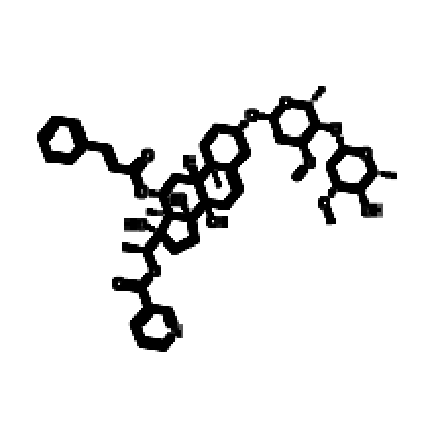 CO[C@H]1C[C@H](O[C@H]2CC[C@@]3(C)C(=CC[C@]4(O)[C@@H]3C[C@@H](OC(=O)/C=C/c3ccccc3)[C@@]3(C)[C@]4(O)CC[C@@]3(O)[C@H](C)OC(=O)c3cccnc3)C2)O[C@H](C)[C@H]1O[C@H]1C[C@@H](OC)[C@H](O)[C@@H](C)O1